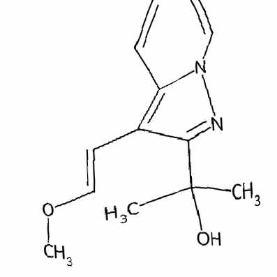 COC=Cc1c(C(C)(C)O)nn2ccccc12